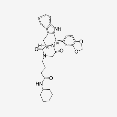 O=C(CCCN1CC(=O)N2[C@H](c3ccc4c(c3)OCO4)c3[nH]c4ccccc4c3C[C@@H]2C1=O)NC1CCCCC1